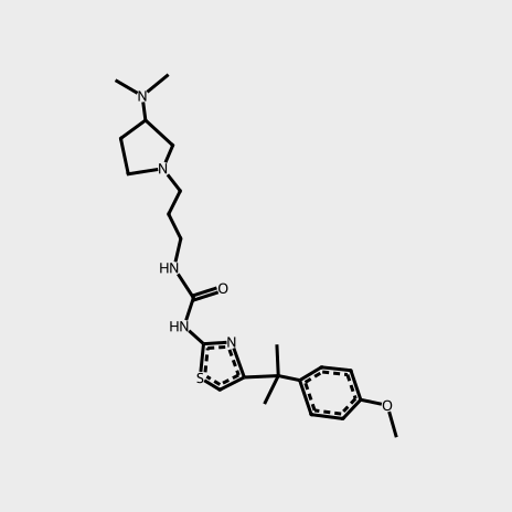 COc1ccc(C(C)(C)c2csc(NC(=O)NCCCN3CCC(N(C)C)C3)n2)cc1